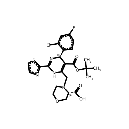 CC(C)(C)OC(=O)C1=C(CN2CCOC[C@H]2C(=O)O)NC(c2nccs2)=N[C@H]1c1ccc(F)cc1Cl